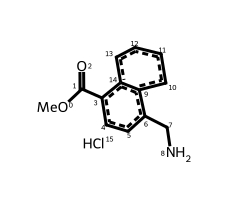 COC(=O)c1ccc(CN)c2ccccc12.Cl